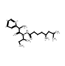 CCC(C)[C@H](NC(=O)CCCC(N)CC(C)C)C(=O)C(N)c1ccccn1